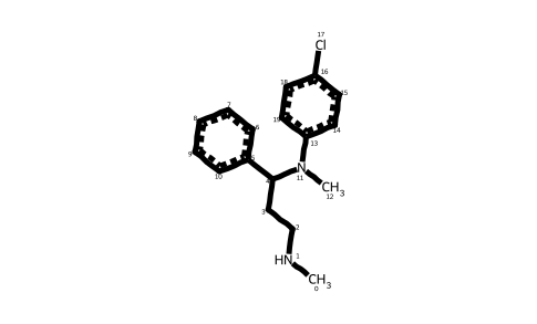 CNCCC(c1ccccc1)N(C)c1ccc(Cl)cc1